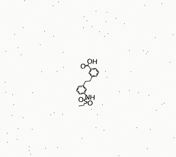 CCS(=O)(=O)Nc1cccc(CCc2cccc(C(=O)O)c2)c1